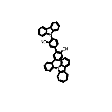 N#Cc1ccc(-c2ccccc2-n2c3c(c4ccccc42)C=CC=CC3)cc1-c1ccc(-n2c3ccccc3c3ccccc32)c(C#N)c1